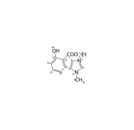 CC[n+]1ccn(C)c1.O=C([O-])c1ccccc1O